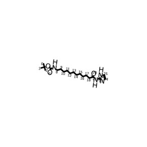 CC(C)(C)OC(=O)NCCCCCCCCCCCC(=O)Nc1ncc[nH]1